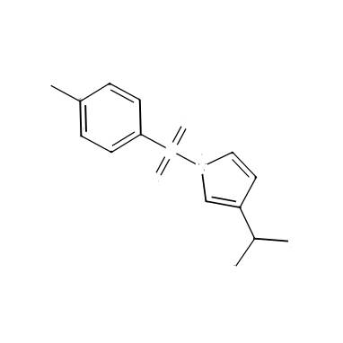 Cc1ccc(S(=O)(=O)n2ccc(C(C)C)c2)cc1